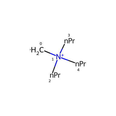 [CH2][N+](CCC)(CCC)CCC